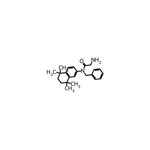 CC1(C)CCC(C)(C)c2cc(N(Cc3ccccc3)C(=O)CN)ccc21